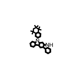 CC1(C)CC(C)(C)C(C)(C)c2ccc(-n3c4ccccc4c4cc5c(cc43)[nH]c3ccccc35)cc21